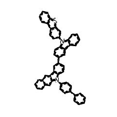 c1ccc(-c2ccc(-n3c4ccc(-c5ccc6c(c5)c5ccccc5n6-c5ccc6c(c5)sc5ccccc56)cc4c4cc5ccccc5cc43)cc2)cc1